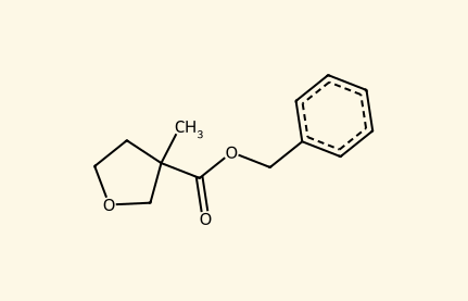 CC1(C(=O)OCc2ccccc2)CCOC1